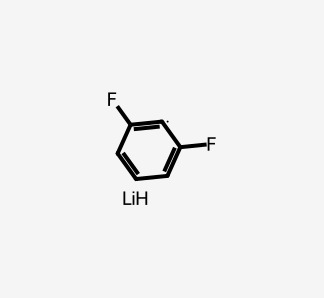 Fc1[c]c(F)ccc1.[LiH]